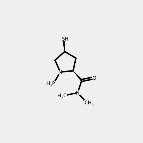 CN(C)C(=O)[C@@H]1C[C@H](S)CN1P